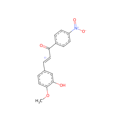 COc1ccc(/C=C/C(=O)c2ccc([N+](=O)[O-])cc2)cc1O